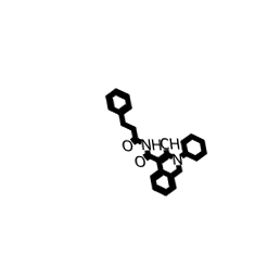 CC1=C(C(=O)NC(=O)CCc2ccccc2)c2ccccc2CN1C1CCCCC1